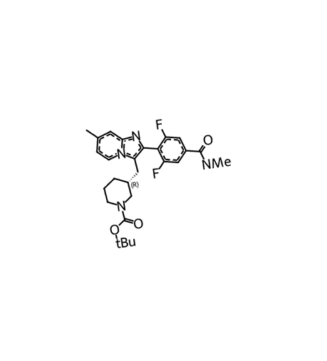 CNC(=O)c1cc(F)c(-c2nc3cc(C)ccn3c2C[C@H]2CCCN(C(=O)OC(C)(C)C)C2)c(F)c1